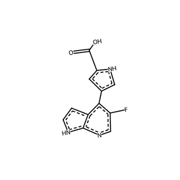 O=C(O)c1cc(-c2c(F)cnc3[nH]ccc23)c[nH]1